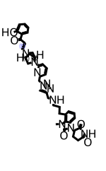 Cn1c(=O)n(C2CCC(=O)NC2=O)c2cccc(CCCNCc3cn(Cc4cccc(N5C[C@H]6C[C@@H]5CN6/C=C/C(=O)c5ccccc5O)n4)nn3)c21